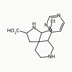 CCOC1NC(C(=O)O)CC12CCNCC2c1ccncn1